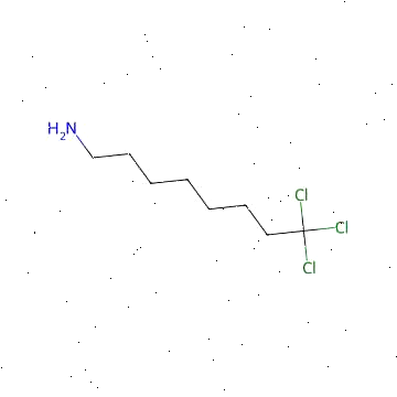 NCCCCCCCC(Cl)(Cl)Cl